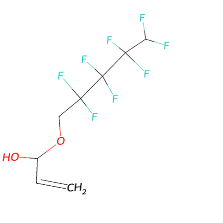 C=CC(O)OCC(F)(F)C(F)(F)C(F)(F)C(F)F